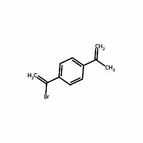 C=C(C)c1ccc(C(=C)Br)cc1